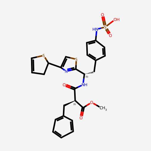 COC(=O)[C@@H](Cc1ccccc1)C(=O)N[C@@H](Cc1ccc(NS(=O)(=O)O)cc1)c1nc(C2CC=CS2)cs1